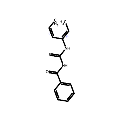 C/C=C\C(=C/C)NC(=S)NC(=O)c1ccccc1